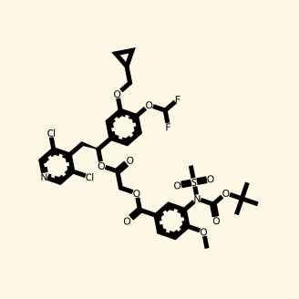 COc1ccc(C(=O)OCC(=O)O[C@@H](Cc2c(Cl)cncc2Cl)c2ccc(OC(F)F)c(OCC3CC3)c2)cc1N(C(=O)OC(C)(C)C)S(C)(=O)=O